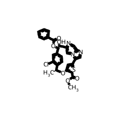 COC(=O)c1sc(-c2cnc3cnc(CO)cn23)cc1O[C@H](C)c1ccc(COC(=O)c2ccccc2)cc1Cl